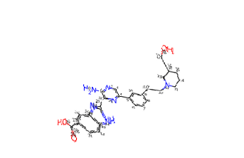 Nc1ncc(-c2cccc(CCN3CCCC(CO)C3)c2)nc1-c1nc2cc(C(=O)O)ccc2[nH]1